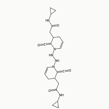 O=C=C1C(CC(=O)NC2CC2)CC=CN1NNN1C=CCC(CC(=O)NC2CC2)C1=C=O